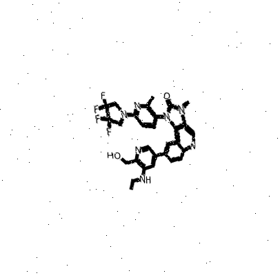 CCNc1cc(-c2ccc3ncc4c(c3c2)n(-c2ccc(N3CC(F)(F)C(F)(F)C3)nc2C)c(=O)n4C)cnc1CO